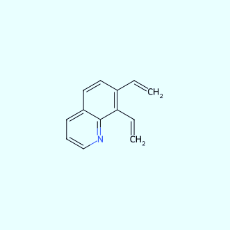 C=Cc1ccc2cccnc2c1C=C